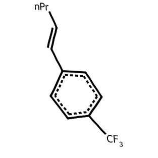 CCCC=Cc1ccc(C(F)(F)F)cc1